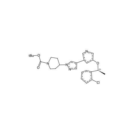 C[C@H](Oc1cncc(-c2cnn(C3CCN(C(=O)OC(C)(C)C)CC3)c2)c1)c1ccccc1Cl